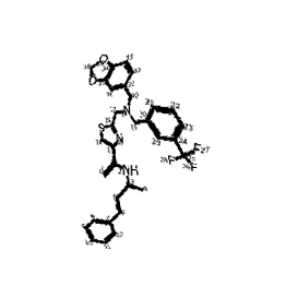 C=C(NC(C)CCc1ccccc1)c1csc(CN(Cc2cccc(C(F)(F)F)c2)Cc2ccc3c(c2)OCO3)n1